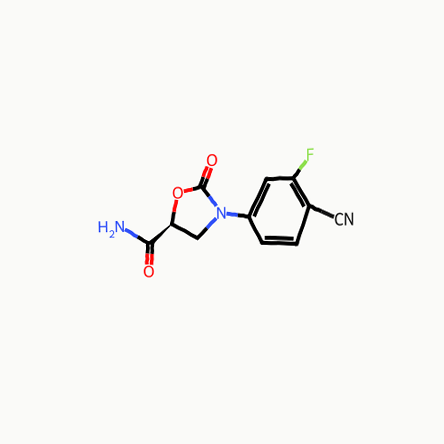 N#Cc1ccc(N2C[C@@H](C(N)=O)OC2=O)cc1F